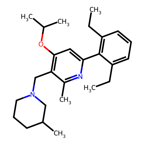 CCc1cccc(CC)c1-c1cc(OC(C)C)c(CN2CCCC(C)C2)c(C)n1